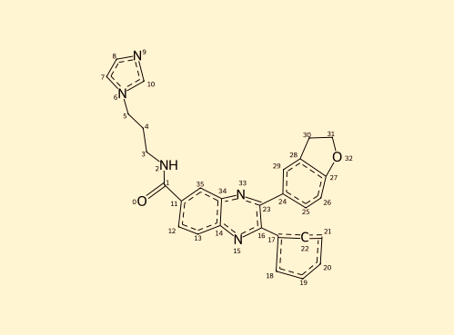 O=C(NCCCn1ccnc1)c1ccc2nc(-c3ccccc3)c(-c3ccc4c(c3)CCO4)nc2c1